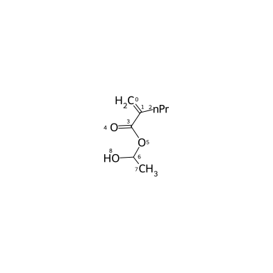 C=C(CCC)C(=O)OC(C)O